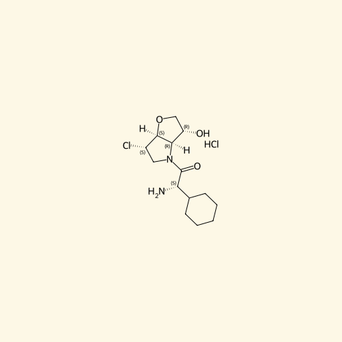 Cl.N[C@H](C(=O)N1C[C@H](Cl)[C@H]2OC[C@H](O)[C@H]21)C1CCCCC1